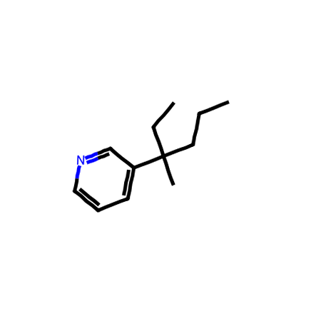 CCCC(C)(CC)c1cccnc1